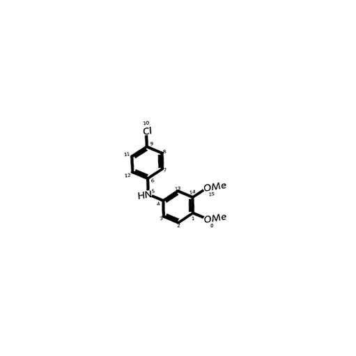 COc1ccc(Nc2ccc(Cl)cc2)cc1OC